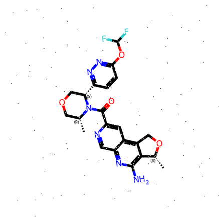 C[C@@H]1COC[C@H](c2ccc(OC(F)F)nn2)N1C(=O)c1cc2c3c(c(N)nc2cn1)[C@@H](C)OC3